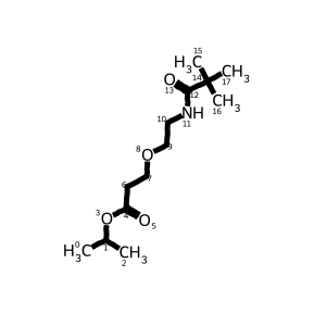 CC(C)OC(=O)CCOCCNC(=O)C(C)(C)C